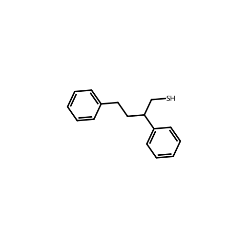 SCC(CCc1ccccc1)c1ccccc1